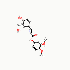 COc1ccc(OC(=O)/C=C/c2ccc(O)c(CO)c2)cc1OC